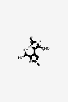 CCC(O)c1nn(C)cc1-c1nc(C)sc1C=O